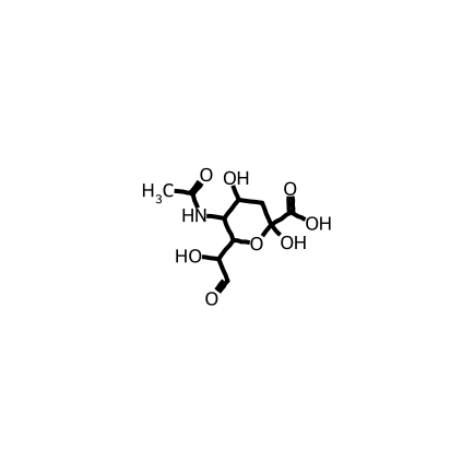 CC(=O)NC1C(O)CC(O)(C(=O)O)OC1C(O)C=O